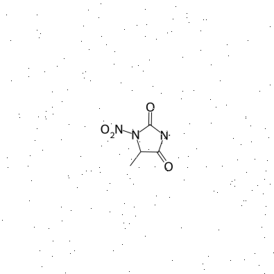 CC1C(=O)[N]C(=O)N1[N+](=O)[O-]